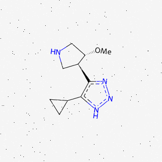 CO[C@H]1CNC[C@@H]1c1nn[nH]c1C1CC1